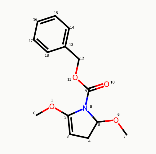 COC1=CCC(OC)N1C(=O)OCc1ccccc1